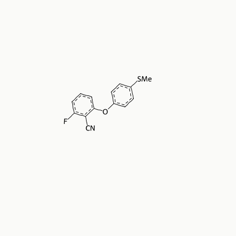 CSc1ccc(Oc2cccc(F)c2C#N)cc1